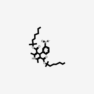 CCCCCCC(C)(C)OC(=O)C1=C(C)NC(C)=C(C(=O)OC(C)(C)CCCCCC)C1c1cccc([N+](=O)[O-])c1